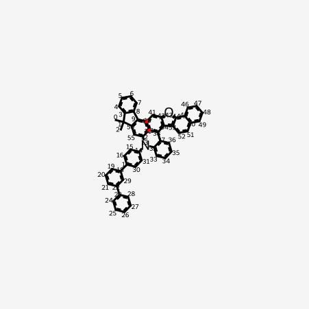 CC1(C)c2ccccc2-c2ccc(N(c3ccc(-c4cccc(-c5ccccc5)c4)cc3)c3ccccc3-c3cccc4oc5c6ccccc6ccc5c34)cc21